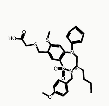 CCCC[C@@H]1CN(c2ccccc2)c2cc(SC)c(CSCC(=O)O)cc2S(=O)(=O)N1Cc1ccc(OC)cc1